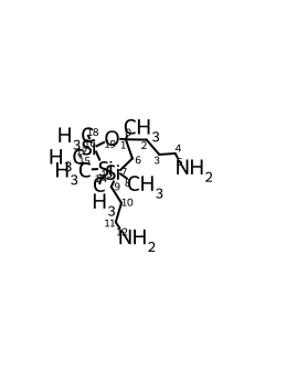 CC1(CCCN)C[Si](C)(CCCN)[Si](C)(C)[Si](C)(C)O1